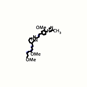 COCC\C=C/C(=C\C=C\C1CCCn2nc(/C=C/c3ccc(-n4cnc(C)c4)c(OC)c3)nc21)OC